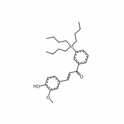 CCC[CH2][Sn]([CH2]CCC)([CH2]CCC)[c]1cccc(C(=O)/C=C/c2ccc(O)c(OC)c2)c1